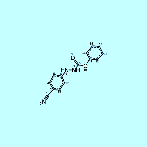 N#Cc1ccc(NNC(=O)Oc2ccccc2)cc1